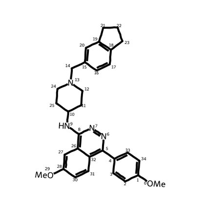 COc1ccc(-c2nnc(NC3CCN(Cc4ccc5c(c4)CCC5)CC3)c3cc(OC)ccc23)cc1